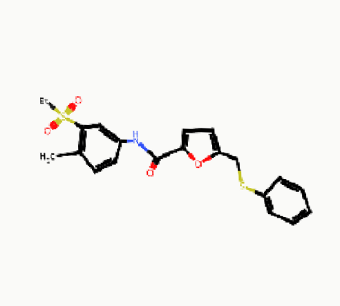 CCS(=O)(=O)c1cc(NC(=O)c2ccc(CSc3ccccc3)o2)ccc1C